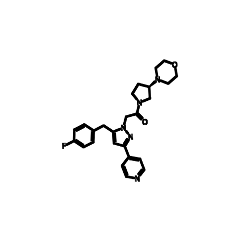 O=C(Cn1nc(-c2ccncc2)cc1Cc1ccc(F)cc1)N1CC[C@@H](N2CCOCC2)C1